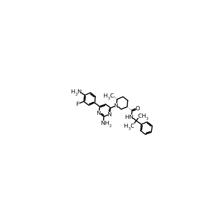 C[C@@H]1CC[C@H](C(=O)NC(C)(C)c2ccccc2)CN1c1cc(-c2ccc(N)c(F)c2)nc(N)n1